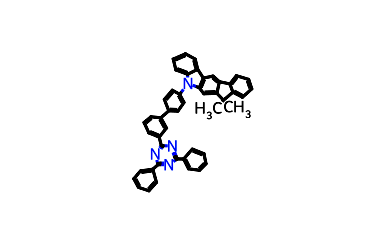 CC1(C)c2ccccc2-c2cc3c4ccccc4n(-c4ccc(-c5cccc(-c6nc(-c7ccccc7)nc(-c7ccccc7)n6)c5)cc4)c3cc21